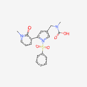 CN(Cc1cc(-c2cccn(C)c2=O)n(S(=O)(=O)c2ccccc2)c1)C(=O)O